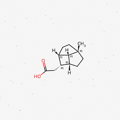 C[C@]12CC[C@@H]3[C@H](CC(=O)O)[C@H](CC1)[C@@H]32